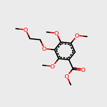 COCCOc1c(OC)c(OC)cc(C(=O)OC)c1OC